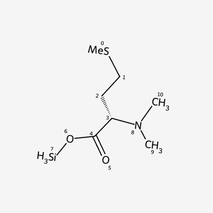 CSCC[C@@H](C(=O)O[SiH3])N(C)C